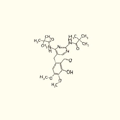 COc1cc(Cc2cnc(NC(=O)C(C)(C)C)nc2NC(=O)C(C)(C)C)c(C=O)c(O)c1OC